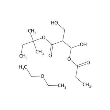 CCC(=O)OC(O)C(CO)C(=O)OC(C)(C)CC.CCOCC